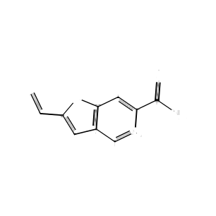 C=Cc1cc2cnc(C(N)=O)cc2o1